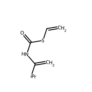 C=CSC(=O)NC(=C)C(C)C